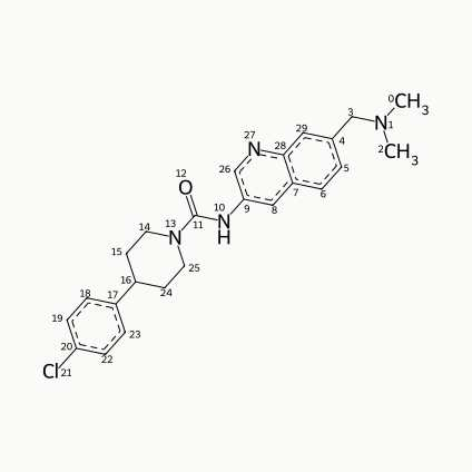 CN(C)Cc1ccc2cc(NC(=O)N3CCC(c4ccc(Cl)cc4)CC3)cnc2c1